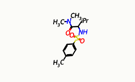 Cc1ccc(S(=O)(=O)NC(C(=O)N(C)C)C(C)C)cc1